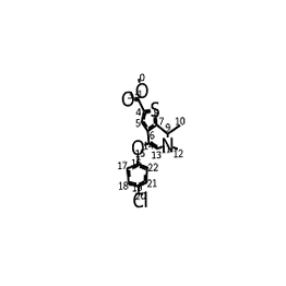 COC(=O)c1cc2c(s1)C(C)N(C)C=C2Oc1ccc(Cl)cc1